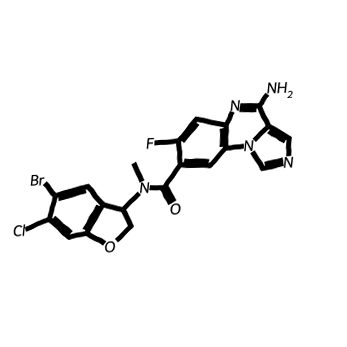 CN(C(=O)c1cc2c(cc1F)nc(N)c1cncn12)C1COc2cc(Cl)c(Br)cc21